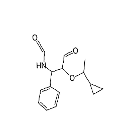 CC(OC(C=O)C(NC=O)c1ccccc1)C1CC1